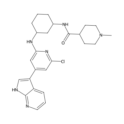 CN1CCC(C(=O)NC2CCCC(Nc3cc(-c4c[nH]c5ncccc45)cc(Cl)n3)C2)CC1